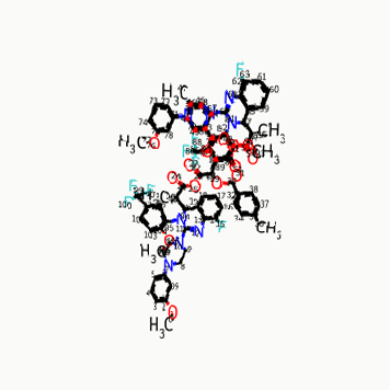 COc1cccc(N2CCN(C3=Nc4c(F)cccc4C([C@H](C)C(=O)OC(=O)[C@@H](OC(=O)c4ccc(C)cc4)[C@H](OC(=O)c4ccc(C)cc4)C(=O)OC(=O)[C@@H](C)C4c5cccc(F)c5N=C(N5CCN(c6cccc(OC)c6)CC5)N4c4cc(C(F)(F)F)ccc4OC)N3c3cc(C(F)(F)F)ccc3OC)CC2)c1